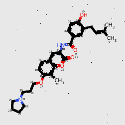 CC(C)=CCc1cc(C(=O)Nc2cc3ccc(OCCCN4CCCC4)c(C)c3oc2=O)ccc1O